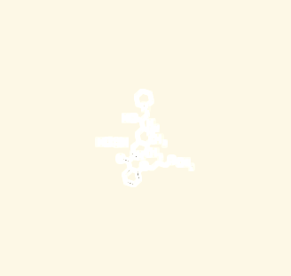 COCCCOc1ccccc1C(=O)NC[C@@H](C[C@H](N)[C@@H](O)CN1CCCCC1)C(C)C.Cl.Cl